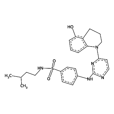 CC(C)CCNS(=O)(=O)c1ccc(Nc2nccc(N3CCCc4c(O)cccc43)n2)cc1